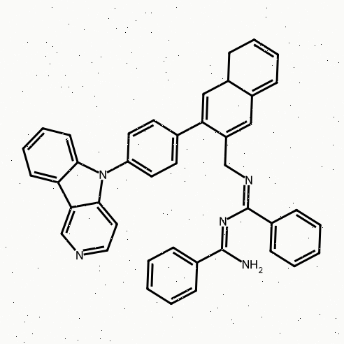 N/C(=N\C(=N/CC1=CC2=CC=CCC2C=C1c1ccc(-n2c3ccccc3c3cnccc32)cc1)c1ccccc1)c1ccccc1